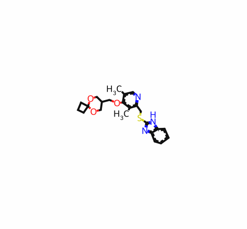 Cc1cnc(CSc2nc3ccccc3[nH]2)c(C)c1OCC1COC2(CCC2)OC1